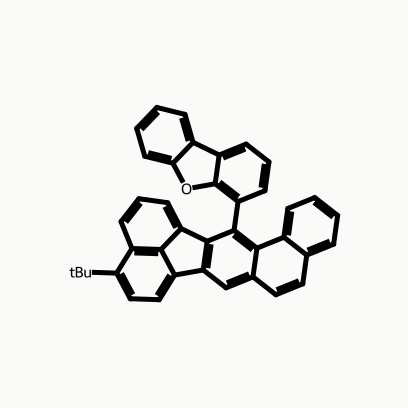 CC(C)(C)c1ccc2c3c(cccc13)-c1c-2cc2ccc3ccccc3c2c1-c1cccc2c1oc1ccccc12